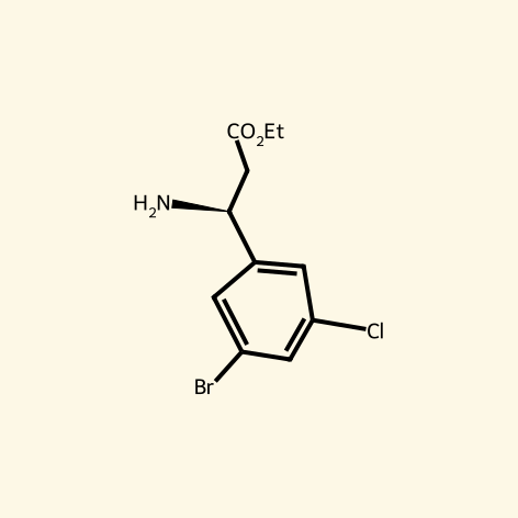 CCOC(=O)C[C@H](N)c1cc(Cl)cc(Br)c1